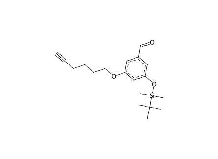 C#CCCCCOc1cc(C=O)cc(O[Si](C)(C)C(C)(C)C)c1